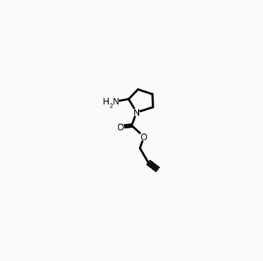 C#CCOC(=O)N1CCCC1N